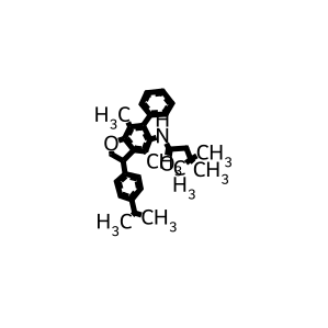 Cc1c2c(c(C)c(NC(=O)CC(C)(C)C)c1-c1ccccc1)C(c1ccc(C(C)C)cc1)CO2